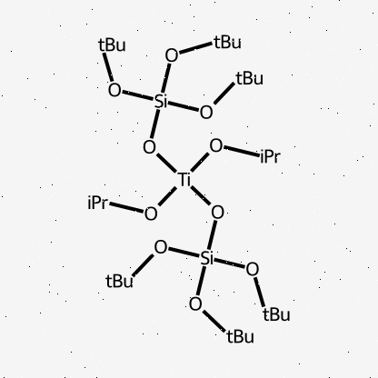 CC(C)[O][Ti]([O]C(C)C)([O][Si](OC(C)(C)C)(OC(C)(C)C)OC(C)(C)C)[O][Si](OC(C)(C)C)(OC(C)(C)C)OC(C)(C)C